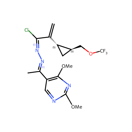 C=C(/C(Cl)=N\N=C(/C)c1cnc(OC)nc1OC)[C@H]1C[C@@H]1COC(F)(F)F